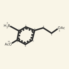 Bc1cc(CCOC(C)=O)ccc1OC(C)=O